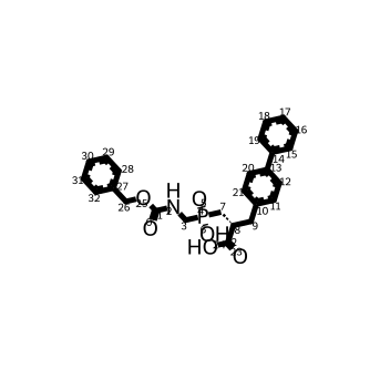 O=C(NCP(=O)(O)C[C@H](Cc1ccc(-c2ccccc2)cc1)C(=O)O)OCc1ccccc1